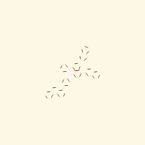 c1ccc(N(c2ccc(-c3ccc4ccccc4c3)cc2)c2ccc(-c3cccc4c3ccc3ccccc34)cc2)c(-c2ccc3oc4cc5ccccc5cc4c3c2)c1